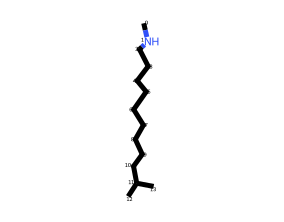 CNCCCCCCCCCC(C)C